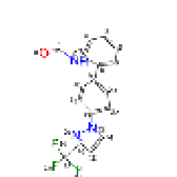 O=CNc1ccccc1-c1ccc(-n2ccc(C(F)(F)F)n2)cc1